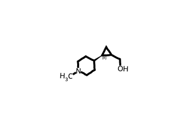 CN1CCC([C@H]2CC2CO)CC1